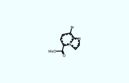 COC(=O)c1ccc(Br)c2nccn12